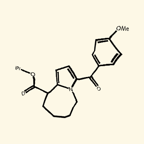 COc1ccc(C(=O)c2ccc3n2CCCCC3C(=O)OC(C)C)cc1